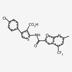 Cc1cc(C(F)(F)F)c2cc(C(=O)Nc3scc(-c4ccc(Cl)cc4)c3C(=O)O)oc2n1